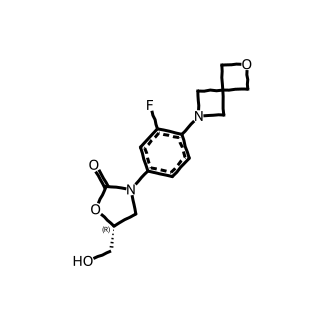 O=C1O[C@@H](CO)CN1c1ccc(N2CC3(COC3)C2)c(F)c1